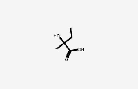 [CH2]C(O)(CC)C(=O)O